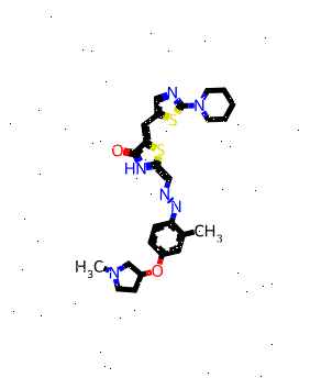 Cc1cc(OC2CCN(C)C2)ccc1N=NC=c1[nH]c(=O)c(=Cc2cnc(N3CCCCC3)s2)s1